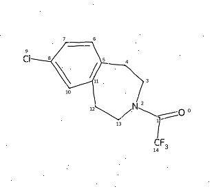 O=C(N1CCc2ccc(Cl)cc2CC1)C(F)(F)F